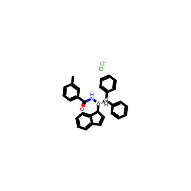 Cc1cccc(C(=O)[NH][Zr+2]([CH]2C=Cc3ccccc32)[SiH](c2ccccc2)c2ccccc2)c1.[Cl-].[Cl-]